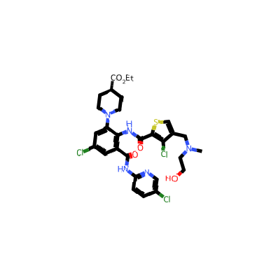 CCOC(=O)C1CCN(c2cc(Cl)cc(C(=O)Nc3ccc(Cl)cn3)c2NC(=O)c2scc(CN(C)CCO)c2Cl)CC1